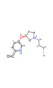 O=Cc1ccc(O[C@H]2CCN(CCCF)C2)cn1